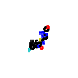 CC1(C)c2sc(-c3ccnc(NC4CCOCC4)n3)nc2C(=O)N1Cc1cccc(F)c1